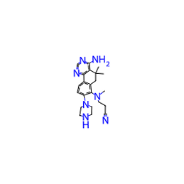 CN(CCC#N)c1c(N2CCNCC2)ccc2c1CC(C)(C)c1c(N)ncnc1-2